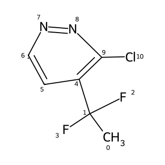 CC(F)(F)c1c[c]nnc1Cl